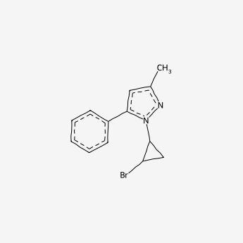 Cc1cc(-c2ccccc2)n(C2CC2Br)n1